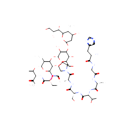 CNC(=O)[C@@H](NC(=O)[C@H](CC(=O)O)NC(=O)[C@@H]1CCCN1C(=O)[C@H](C)NC(=O)[C@H](CO)NC(=O)[C@@H](NC(=O)[C@@H](NC(=O)CNC(=O)[C@@H](N)Cc1cnc[nH]1)C(C)C)C(C)O)C(C)O[C@H]1OC(CO)[C@H](O)C(O[C@@H]2OC(CO)[C@H](O)C(O[C@]3(C(=O)O)CC(O)[C@@H](NC(C)=O)C([C@H](O)[C@H](O)CO)O3)C2O)C1NC(C)=O